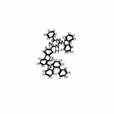 c1ccc(C2=NC(c3ccc4c(c3)oc3c(-n5c6ccccc6c6c(-c7ccccc7)cccc65)cccc34)NC(n3c4ccccc4c4ccccc43)=N2)cc1